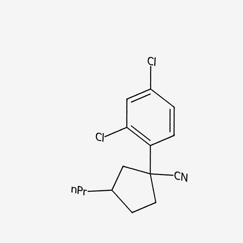 CCCC1CCC(C#N)(c2ccc(Cl)cc2Cl)C1